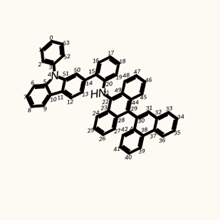 c1ccc(-n2c3ccccc3c3ccc(-c4ccccc4Nc4c5ccccc5c(-c5cc6ccccc6c6ccccc56)c5ccccc45)cc32)cc1